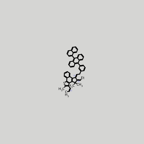 C/C=C\c1c(C)sc2c1c1c(c3ccccc32)C(=C/Cc2cccc(-c3c4ccccc4c(-c4cccc5ccccc45)c4ccccc34)c2)/C(=C\CC)C1(C)C